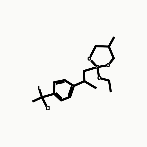 CCO[Si]1(CC(C)c2ccc(C(C)(Cl)I)cc2)OCC(C)CO1